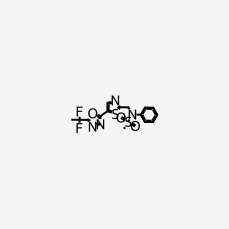 CC(F)(F)c1nnc(-c2cnc(CN(c3ccccc3)S(C)(=O)=O)s2)o1